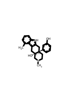 Cc1cccc2[nH]c3c(c12)C[C@]1(O)CN(C)CC[C@@]1(c1cccc(O)c1)C3